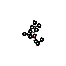 c1ccc(-c2cccc3ccc(-c4ccc(N(c5cccc([Si](c6ccccc6)(c6ccccc6)c6ccccc6)c5)c5cccc6c5c5ccccc5n6-c5ccccc5)cc4)cc23)cc1